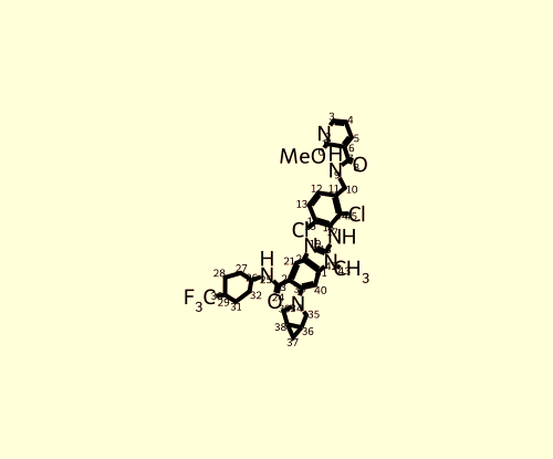 COc1ncccc1C(=O)NCc1ccc(Cl)c(Nc2nc3cc(C(=O)NC4CCC(C(F)(F)F)CC4)c(N4CC5CC5C4)cc3n2C)c1Cl